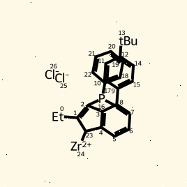 CCC1=c2c3c(ccc(c3-c3ccc(C(C)(C)C)cc3)p2-c2ccccc2)[CH]1[Zr+2].[Cl-].[Cl-]